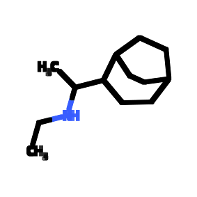 CCNC(C)C1CCC2CCC1CC2